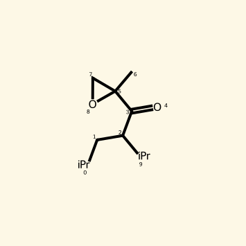 CC(C)CC(C(=O)C1(C)CO1)C(C)C